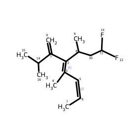 C=C(/C(=C(C)/C=C\C)C(C)CC(F)F)C(C)C